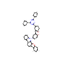 c1ccc(-c2nc(-c3ccccc3)nc(-c3ccc4oc5ccc(-n6c7ccccc7c7ccc8c9ccccc9oc8c76)cc5c4c3)n2)cc1